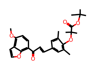 COc1ccc(C(=O)/C=C/c2cc(C)c(OC(C)(C)C(=O)OC(C)(C)C)c(C)c2)c2occc12